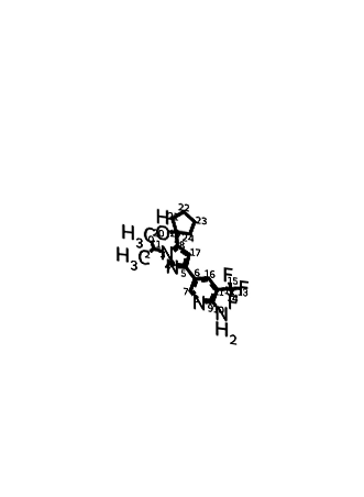 CC(C)n1nc(-c2cnc(N)c(C(F)(F)F)c2)cc1C1(O)CCCC1